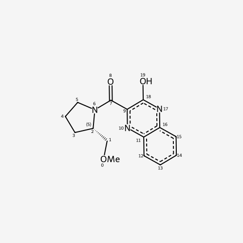 COC[C@@H]1CCCN1C(=O)c1nc2ccccc2nc1O